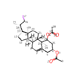 CC(=O)OC1CC2=CC[C@H]3[C@@H]4CC[C@H]([C@H](C)CI)[C@@]4(C)CC[C@@H]3[C@@]2(C)C(OC(C)=O)C1